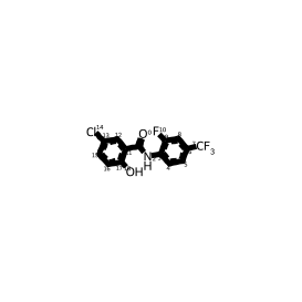 O=C(Nc1ccc(C(F)(F)F)cc1F)c1cc(Cl)ccc1O